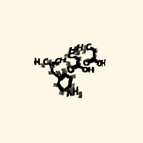 CCC(=O)O.CCC(=O)O.CN(C)Cc1ccccc1.N